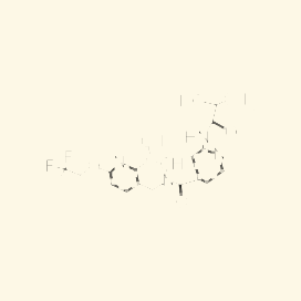 COc1nc(OCC(F)(F)F)ccc1CN(C)C(=O)c1ccnc(NC(=O)C(C)C)c1